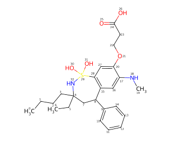 CCCCC1(CC)CC(c2ccccc2)c2cc(NC)c(OCCC(=O)O)cc2S(O)(O)N1